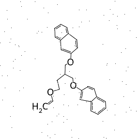 C=COCCC(COc1ccc2ccccc2c1)COc1ccc2ccccc2c1